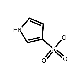 O=S(=O)(Cl)c1cc[nH]c1